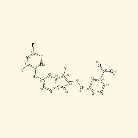 Cc1cc(F)cnc1Oc1ccc2nc(COc3cccc(C(=O)O)c3)n(C)c2c1